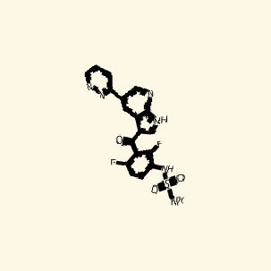 CCCS(=O)(=O)Nc1ccc(F)c(C(=O)c2c[nH]c3ncc(-c4cccnn4)cc23)c1F